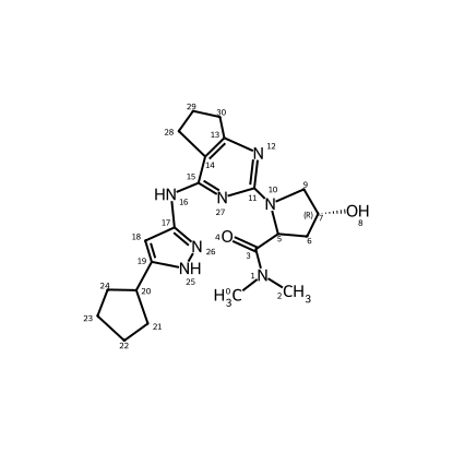 CN(C)C(=O)C1C[C@@H](O)CN1c1nc2c(c(Nc3cc(C4CCCC4)[nH]n3)n1)CCC2